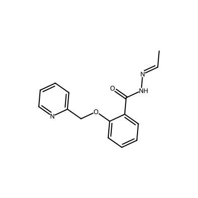 CC=NNC(=O)c1ccccc1OCc1ccccn1